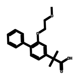 COCCOc1cc(C(C)(C)C(=O)O)ccc1-c1ccccc1